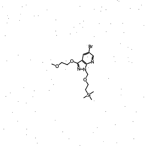 COCCOc1nn(COCC[Si](C)(C)C)c2ncc(Br)cc12